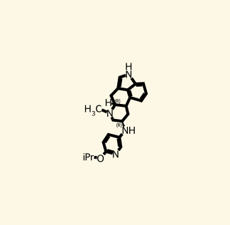 CC(C)Oc1ccc(N[C@@H]2CC3c4cccc5[nH]cc(c45)C[C@H]3N(C)C2)cn1